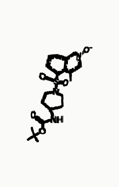 Cc1c[n+]([O-])cc2cccc(S(=O)(=O)N3CCC(NC(=O)OC(C)(C)C)CC3)c12